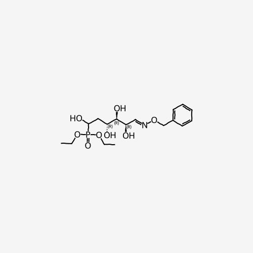 CCOP(=O)(OCC)C(O)C[C@@H](O)[C@@H](O)[C@H](O)C=NOCc1ccccc1